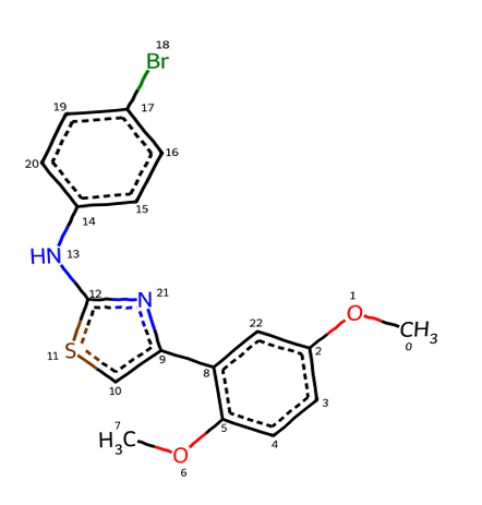 COc1ccc(OC)c(-c2csc(Nc3ccc(Br)cc3)n2)c1